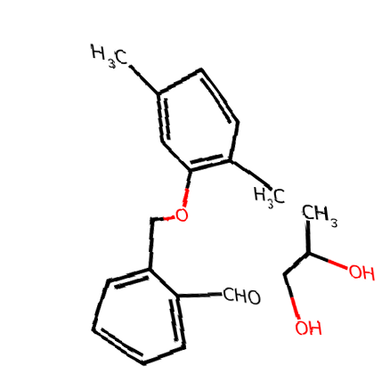 CC(O)CO.Cc1ccc(C)c(OCc2ccccc2C=O)c1